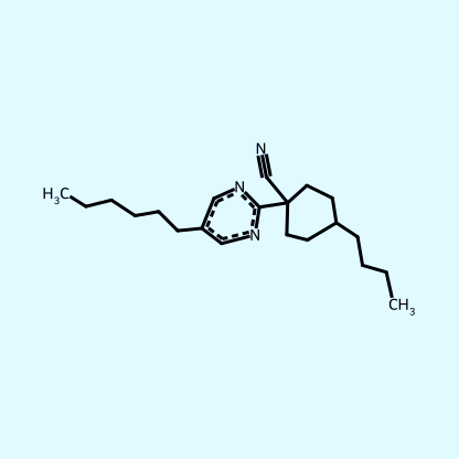 CCCCCCc1cnc(C2(C#N)CCC(CCCC)CC2)nc1